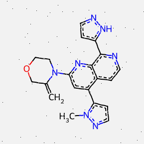 C=C1COCCN1c1cc(-c2ccnn2C)c2ccnc(-c3ccn[nH]3)c2n1